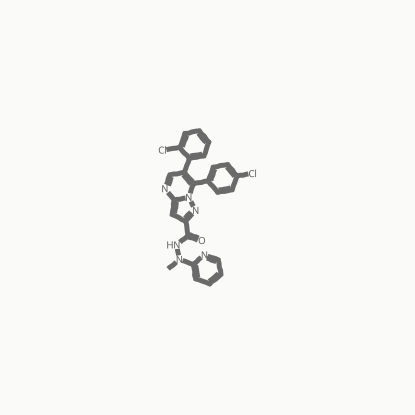 CN(NC(=O)c1cc2ncc(-c3ccccc3Cl)c(-c3ccc(Cl)cc3)n2n1)c1ccccn1